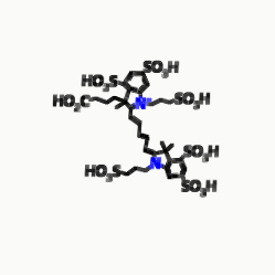 CC1(CCCC(=O)O)C(/C=C/C=C/C=C2/N(CCCS(=O)(=O)O)c3cc(S(=O)(=O)O)cc(S(=O)(=O)O)c3C2(C)C)=[N+](CCCS(=O)(=O)O)c2cc(S(=O)(=O)O)cc(S(=O)(=O)O)c21